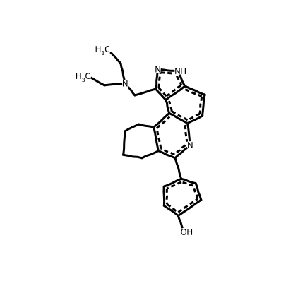 CCN(CC)Cc1n[nH]c2ccc3nc(-c4ccc(O)cc4)c4c(c3c12)CCCC4